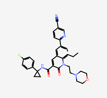 C\C=C(/C=c1/cc(C(=O)NC2(c3ccc(F)cc3)CC2)c(=O)n(CCN2CCOCC2)/c1=C\CC)c1ccc(C#N)cn1